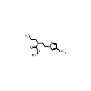 CC(C)(C)OC(=O)N(CCO)CCn1cc([N+](=O)[O-])cn1